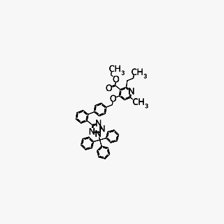 CCCc1nc(C)cc(OCc2ccc(-c3ccccc3-c3nnn(C(c4ccccc4)(c4ccccc4)c4ccccc4)n3)cc2)c1C(=O)OCC